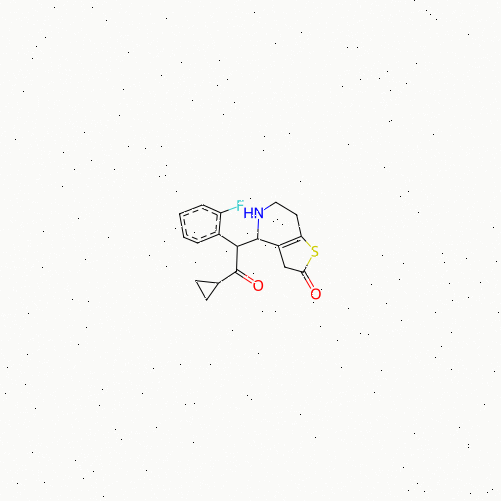 O=C1CC2=C(CCNC2C(C(=O)C2CC2)c2ccccc2F)S1